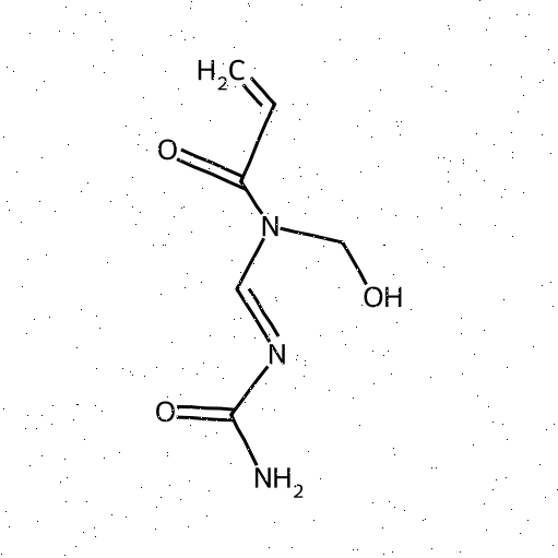 C=CC(=O)N(C=NC(N)=O)CO